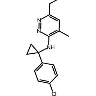 CCc1cc(C)c(NC2(c3ccc(Cl)cc3)CC2)nn1